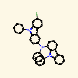 Fc1ccc2c3cc(N(c4ccccc4)c4cccc5c6ccccc6n(-c6ccccc6)c45)ccc3n(-c3ccccc3)c2c1